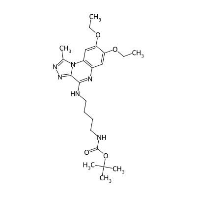 CCOc1cc2nc(NCCCCNC(=O)OC(C)(C)C)c3nnc(C)n3c2cc1OCC